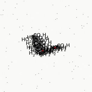 N=C(N)NCCC[C@H](N)C(=O)O.NC(=O)CC[C@H](N)C(=O)O.NC(=O)C[C@H](N)C(=O)O.NC(=O)NCCC[C@H](N)C(=O)O.NCC(=O)O.NCCC[C@H](N)C(=O)O.N[C@@H](CC(=O)O)C(=O)O.N[C@@H](CCC(=O)O)C(=O)O.N[C@@H](CO)C(=O)O.N[C@@H](CS)C(=O)O.O=C(O)[C@@H]1CCCN1